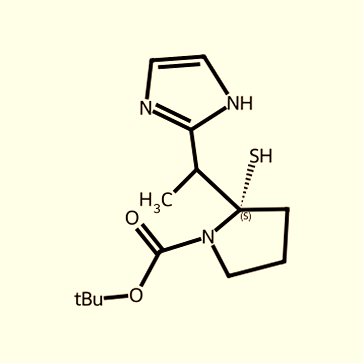 CC(c1ncc[nH]1)[C@@]1(S)CCCN1C(=O)OC(C)(C)C